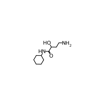 NCCC(O)C(=O)NC1CCCCC1